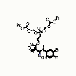 CC(C)OC(=O)OCOP(=O)(CCSc1nonc1/C(=N/O)Nc1ccc(F)c(Br)c1)OCOC(=O)OC(C)C